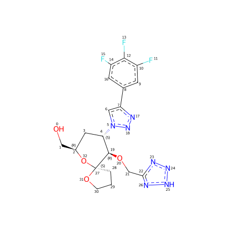 OC[C@H]1C[C@H](n2cc(-c3cc(F)c(F)c(F)c3)nn2)[C@@H](OCc2nn[nH]n2)[C@]2(CCCO2)O1